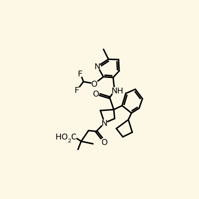 Cc1ccc(NC(=O)C2(c3ccccc3C3CCC3)CN(C(=O)CC(C)(C)C(=O)O)C2)c(OC(F)F)n1